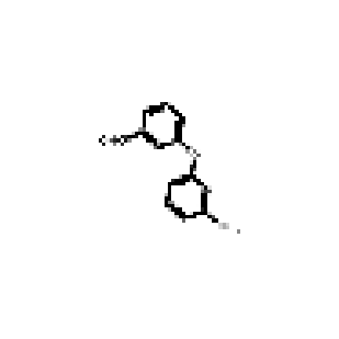 O=Cc1cccc(Oc2cccc([N+](=O)[O-])c2)c1